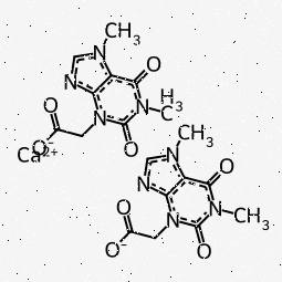 Cn1c(=O)c2c(ncn2C)n(CC(=O)[O-])c1=O.Cn1c(=O)c2c(ncn2C)n(CC(=O)[O-])c1=O.[Ca+2]